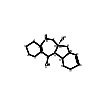 OC1C2=C(CCCC2)NC[C@H]2CC3C=CCCC3N12